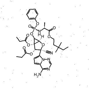 CCC(=O)O[C@@H]1[C@@]2(OC(=O)CC)C(OP(=O)(N[C@@H](C)C(=O)OCCC(C)(C)CC)Oc3ccccc3)[C@H]2O[C@@]1(C#N)c1ccc2c(N)ncnn12